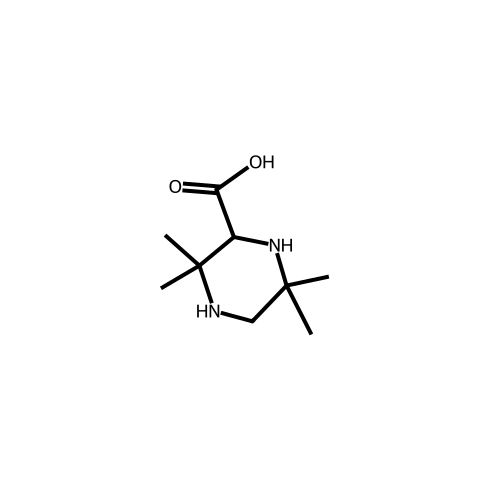 CC1(C)CNC(C)(C)C(C(=O)O)N1